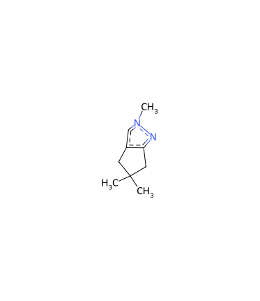 Cn1cc2c(n1)CC(C)(C)C2